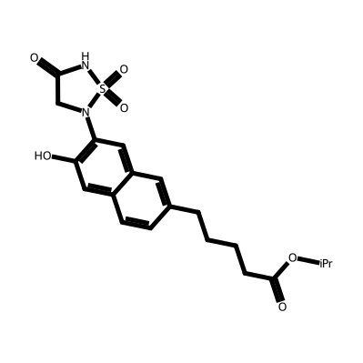 CC(C)OC(=O)CCCCc1ccc2cc(O)c(N3CC(=O)NS3(=O)=O)cc2c1